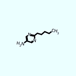 CCCCCc1ncc(N)cn1